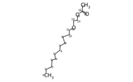 CCCCCCCCCCCCOCCOC(C)=O